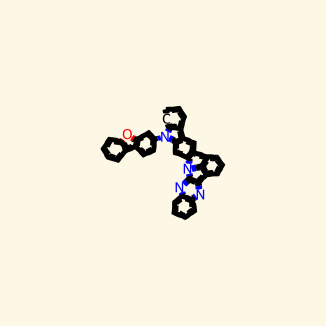 c1ccc2nc3c(nc2c1)c1cccc2c4cc5c6ccccc6n(-c6ccc7c(c6)oc6ccccc67)c5cc4n3c21